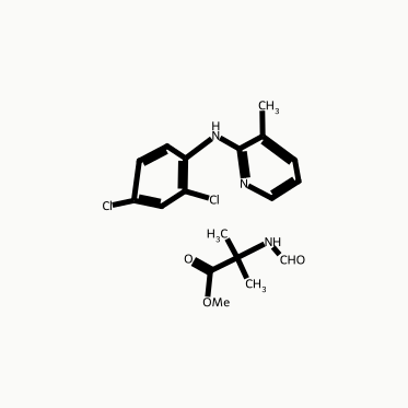 COC(=O)C(C)(C)NC=O.Cc1cccnc1Nc1ccc(Cl)cc1Cl